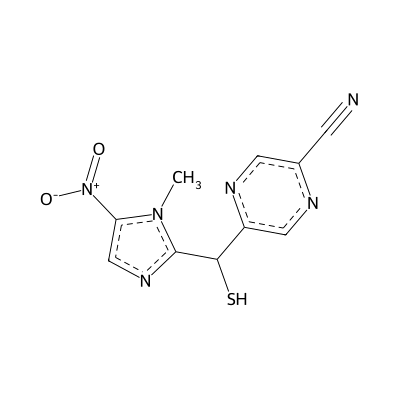 Cn1c([N+](=O)[O-])cnc1C(S)c1cnc(C#N)cn1